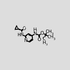 CC(C)(C)OC(=O)Nc1ccnc(NC(=O)C2CC2)c1